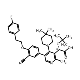 Cc1ncc(-c2ccc(OCCc3ccc(F)cc3)c(C#N)c2)c(N2CCC(C)(C)CC2)c1[C@H](OC(C)(C)C)C(=O)O